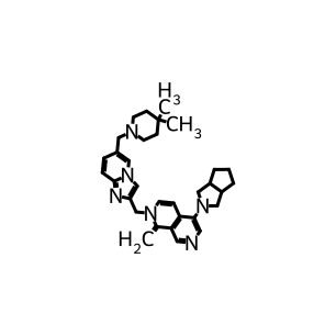 C=C1c2cncc(N3CC4CCCC4C3)c2C=CN1Cc1cn2cc(CN3CCC(C)(C)CC3)ccc2n1